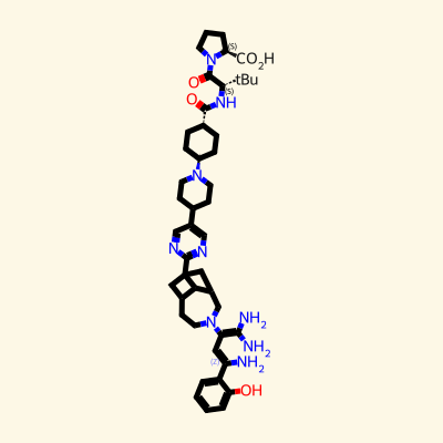 CC(C)(C)[C@H](NC(=O)[C@H]1CC[C@H](N2CCC(c3cnc(C45CC6CCN(C(/C=C(\N)c7ccccc7O)=C(N)N)CC(C4)C65)nc3)CC2)CC1)C(=O)N1CCC[C@H]1C(=O)O